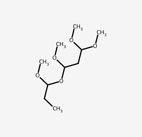 CCC(OC)OC(CC(OC)OC)OC